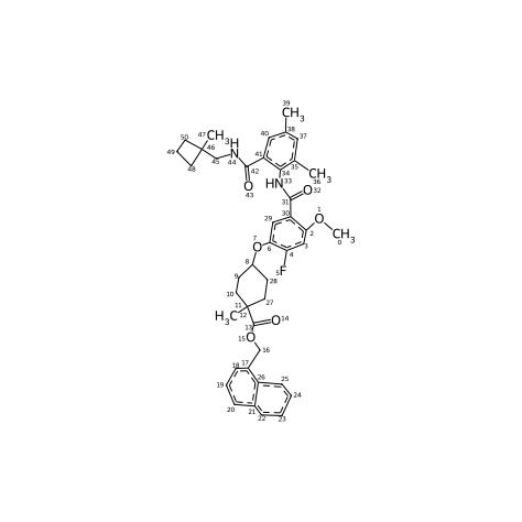 COc1cc(F)c(OC2CCC(C)(C(=O)OCc3cccc4ccccc34)CC2)cc1C(=O)Nc1c(C)cc(C)cc1C(=O)NCC1(C)CCC1